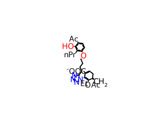 C=C1CC=C(C(=O)[O-])C([N+]2(CC)N=NN=C2CCCCOc2ccc(C(C)=O)c(O)c2CCC)=C1OC(C)=O